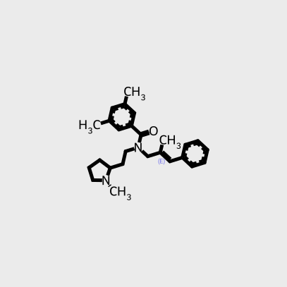 C/C(=C\c1ccccc1)CN(CCC1CCCN1C)C(=O)c1cc(C)cc(C)c1